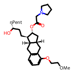 CCCCC[C@@H](O)CC[C@@H]1[C@H]2Cc3cccc(OCCOC)c3C[C@H]2C[C@H]1OC(=O)CN1CCCC1